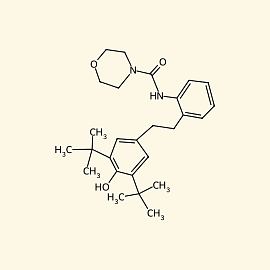 CC(C)(C)c1cc(CCc2ccccc2NC(=O)N2CCOCC2)cc(C(C)(C)C)c1O